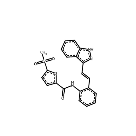 CS(=O)(=O)c1ccc(C(=O)Nc2ccccc2C=Cc2n[nH]c3ccccc23)s1